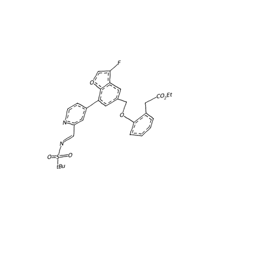 CCOC(=O)Cc1ccccc1OCc1cc(-c2ccnc(C=NS(=O)(=O)C(C)(C)C)c2)c2occ(F)c2c1